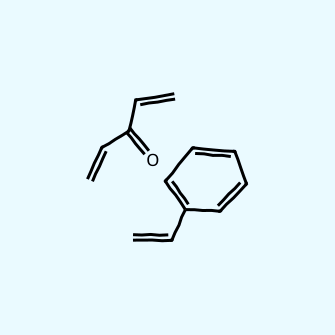 C=CC(=O)C=C.C=Cc1ccccc1